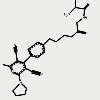 C=C(CCCCc1ccc(-c2c(C#N)c(C)nc(N3CCCC3)c2C#N)cc1)CNC(=C)C(C)N